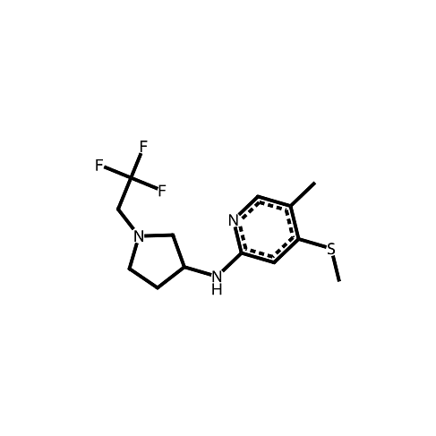 CSc1cc(NC2CCN(CC(F)(F)F)C2)ncc1C